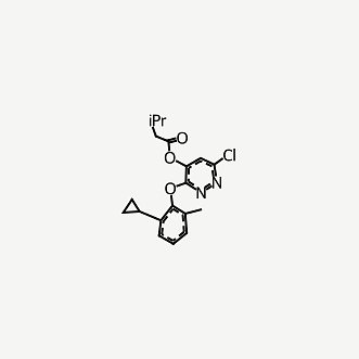 Cc1cccc(C2CC2)c1Oc1nnc(Cl)cc1OC(=O)CC(C)C